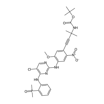 COc1cc(C#CC(C)(C)NC(=O)OC(C)(C)C)c([N+](=O)[O-])cc1Nc1ncc(Cl)c(Nc2ccccc2P(C)(C)=O)n1